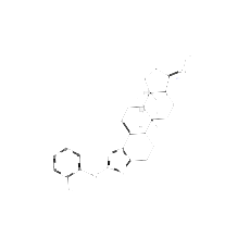 C[C@]12CCc3nc(Nc4ccccc4Cl)sc3C1=CC[C@@H]1[C@@H]2CC[C@]2(C)/C(=N/O)CC[C@@H]12